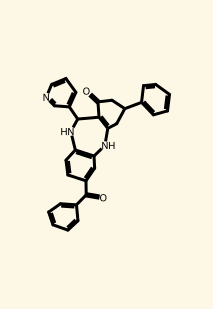 O=C1CC(c2ccccc2)CC2=C1C(c1cccnc1)Nc1ccc(C(=O)c3ccccc3)cc1N2